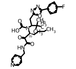 CCCC[C@@H](C(=O)C(=O)NCc1ccncc1)N(C(=O)O)C(Cc1nnc(-c2ccc(F)cc2)o1)C(C)(C)C